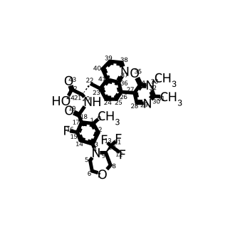 Cc1cc(N2CCOC[C@@H]2C(F)(F)F)cc(F)c1C(=O)N[C@@H](Cc1ccc(-c2cnc(C)n(C)c2=O)c2ncccc12)C(=O)O